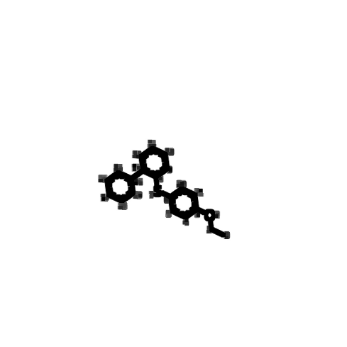 CCOc1ccc(Sc2ccccc2-c2ccccc2)cc1